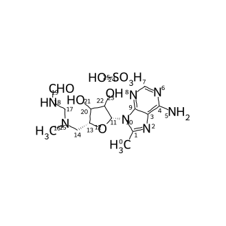 Cc1nc2c(N)ncnc2n1[C@@H]1O[C@H](CN(C)CNC=O)C(O)C1O.O=S(=O)(O)O